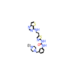 CCN1CCN(Cc2cccc(NC(=O)Nc3ncc(CCNc4ncnc5ccsc45)s3)c2)CC1